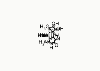 C[C@H]1O[C@@H](n2cnc3c(=O)[nH]c(N)nc32)[C@H](O)[C@@H]1O.[NaH].[NaH].[NaH]